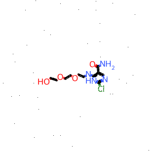 NC(=O)c1cnc(Cl)nc1NCCOCCOCCO